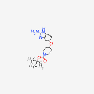 CC(C)(C)OC(=O)N1CCC(Oc2ccc3[nH]c(N)nc3c2)CC1